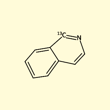 c1ccc2[13cH]nccc2c1